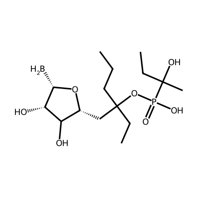 B[C@@H]1O[C@H](CC(CC)(CCC)OP(=O)(O)C(C)(O)CC)C(O)[C@@H]1O